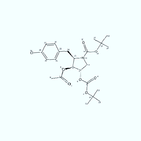 CC(=O)O[C@@H]1[C@@H](OC(=O)OC(C)(C)C)CN(C(=O)OC(C)(C)C)[C@@H]1Cc1ccc(Cl)cc1